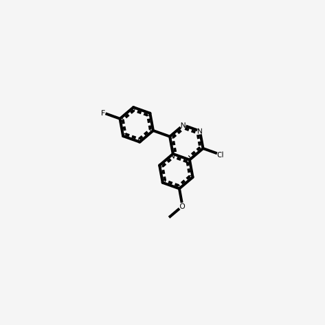 COc1ccc2c(-c3ccc(F)cc3)nnc(Cl)c2c1